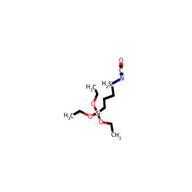 CCO[Si](CCC[SiH2]N=C=O)(OCC)OCC